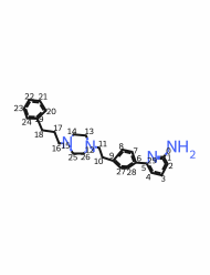 Nc1cccc(-c2ccc(CCN3CCN(CCCc4ccccc4)CC3)cc2)n1